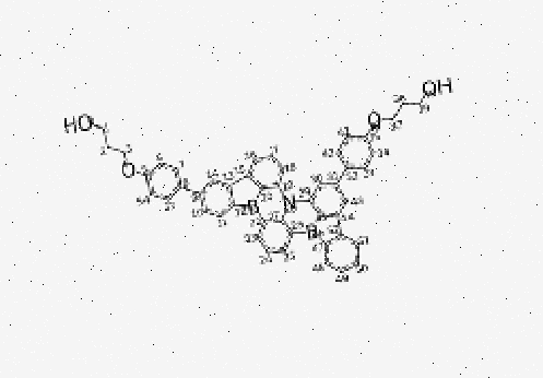 OCCCOc1ccc(-c2ccc3c(c2)-c2cccc4c2B3c2cccc3c2N4c2cc(-c4ccc(OCCCO)cc4)cc4c2B3c2ccccc2-4)cc1